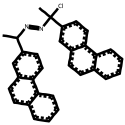 CC(N=NC(C)(Cl)c1ccc2c(ccc3ccccc32)c1)c1ccc2c(ccc3ccccc32)c1